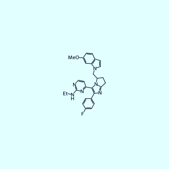 CCNc1nccc(-c2c(-c3ccc(F)cc3)nc3n2C(Cn2ccc4ccc(OC)cc42)CC3)n1